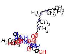 CC(C)=CCC/C(C)=C/CC/C(C)=C/CC/C=C(\C)CC/C=C(\C)CCCOC(=O)COCC(=O)NC(Cc1ccc(O)cc1)C(=O)NCC(=O)NCC(=O)NC(Cc1ccccc1)C(=O)NC(CC(C)C)C(=O)O